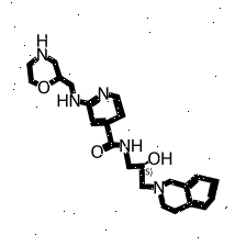 O=C(NC[C@H](O)CN1CCc2ccccc2C1)c1ccnc(NCC2CNCCO2)c1